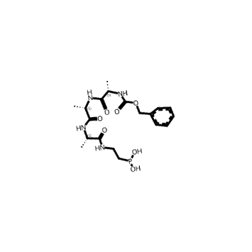 C[C@H](NC(=O)OCc1ccccc1)C(=O)N[C@@H](C)C(=O)N[C@@H](C)C(=O)NCCP(O)O